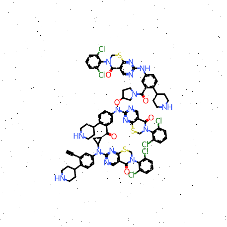 C#Cc1cc(N(c2ncc3c(n2)SCN(c2c(Cl)cccc2Cl)C3=O)C2C[C@H]2C(=O)c2cc(N(OC3CCN(C(=O)c4cc(Nc5ncc6c(n5)SCN(c5c(Cl)cccc5Cl)C6=O)ccc4C4CCNCC4)C3)c3ncc4c(n3)SCN(c3c(Cl)cccc3Cl)C4=O)ccc2C2CCNCC2)ccc1C1CCNCC1